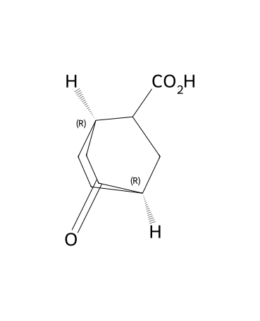 O=C(O)C1C[C@H]2CC[C@@H]1CC2=O